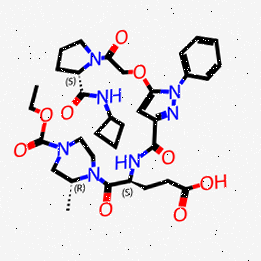 CCOC(=O)N1CCN(C(=O)[C@H](CCC(=O)O)NC(=O)c2cc(OCC(=O)N3CCC[C@H]3C(=O)NC3CCC3)n(-c3ccccc3)n2)[C@H](C)C1